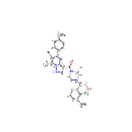 COc1ccc(-c2nc3c(C(=O)N4CCN([C@H](CO)c5cccc(OC)c5F)C[C@H]4C)cnn3c(C(F)(F)F)c2C)cc1